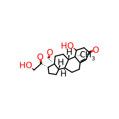 C[C@@]12C(=CC(=O)CC1O)CC[C@H]1[C@@H]3CC[C@H](C(=O)CO)[C@@]3(C=O)CC[C@@H]12